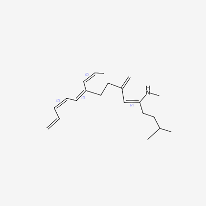 C=C\C=C/C=C(\C=C/C)CCC(=C)/C=C(/CCC(C)C)NC